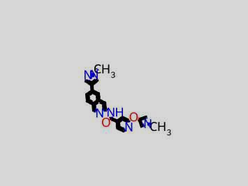 CN1CC(Oc2cc(C(=O)Nc3cc4cc(-c5cnn(C)c5)ccc4cn3)ccn2)C1